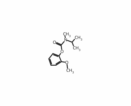 COc1ccccc1OC(=O)N(C)C(C)C